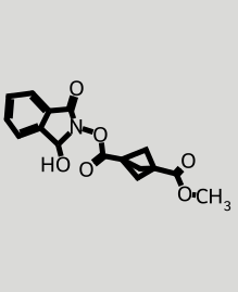 COC(=O)C12CC(C(=O)ON3C(=O)c4ccccc4C3O)(C1)C2